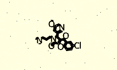 COc1cncc(C2c3c(oc4ccc(Cl)cc4c3=O)C(=O)N2CCCN(C)C)c1